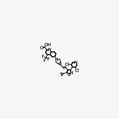 O=C(O)c1cc(C(F)(F)F)c2cc(N3CC4C(/C=C/c5c(-c6c(Cl)cncc6Cl)noc5C5CC5)C4C3)ccc2n1